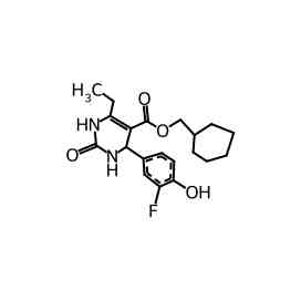 CCC1=C(C(=O)OCC2CCCCC2)C(c2ccc(O)c(F)c2)NC(=O)N1